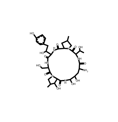 CC1CC2C(=O)NC(C(O)Cc3ccc(O)cc3)C(=O)NC(CO)C(=O)N3CC(C)C(O)C3C(=O)NC(O)C(O)CC(N)C(=O)NC(C(C)O)C(=O)N2C1